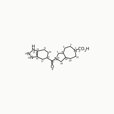 O=C(O)N1CCC2CN(C(=O)C3CCc4[nH]nnc4C3)CC2CC1